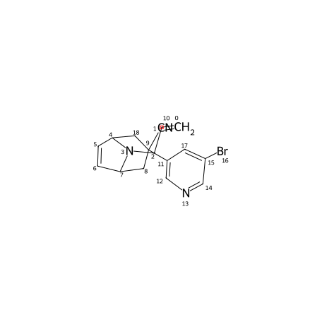 C=CCN1C2C=CC1CC(C#N)(c1cncc(Br)c1)C2